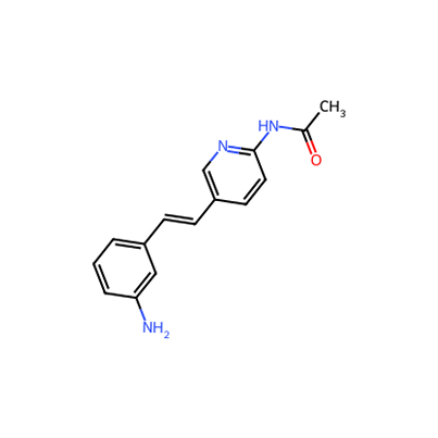 CC(=O)Nc1ccc(C=Cc2cccc(N)c2)cn1